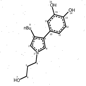 CCCCc1cn(CCCO)cc1-c1ccc(O)c(O)c1